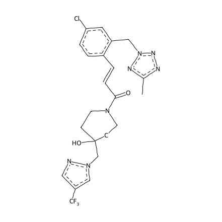 Cc1nnn(Cc2cc(Cl)ccc2C=CC(=O)N2CCC(O)(Cn3cc(C(F)(F)F)cn3)CC2)n1